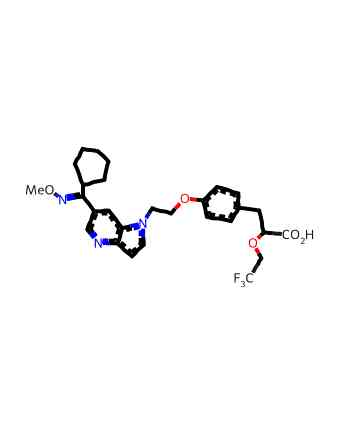 CON=C(c1cnc2ccn(CCOc3ccc(CC(OCC(F)(F)F)C(=O)O)cc3)c2c1)C1CCCCC1